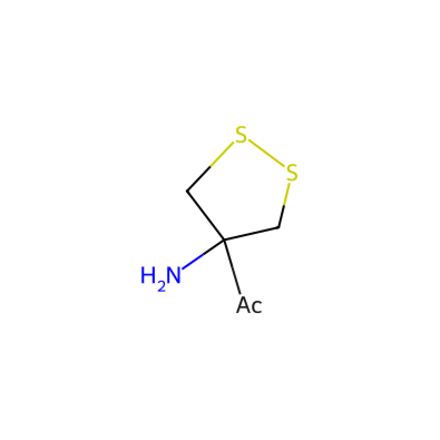 CC(=O)C1(N)CSSC1